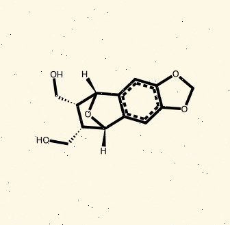 OC[C@@H]1[C@H](CO)[C@H]2O[C@@H]1c1cc3c(cc12)OCO3